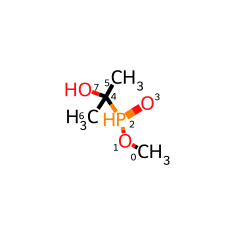 CO[PH](=O)C(C)(C)O